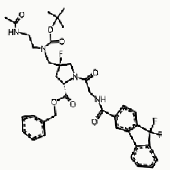 CC(=O)NCCN(C[C@@]1(F)C[C@@H](C(=O)OCc2ccccc2)N(C(=O)CNC(=O)c2ccc3c(c2)-c2ccccc2C3(F)F)C1)C(=O)OC(C)(C)C